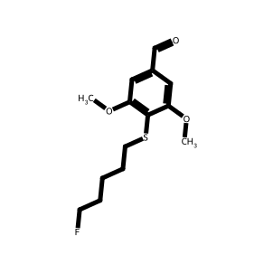 COc1cc(C=O)cc(OC)c1SCCCCCF